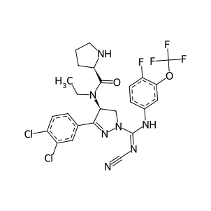 CCN(C(=O)[C@H]1CCCN1)[C@H]1CN(C(=NC#N)Nc2ccc(F)c(OC(F)(F)F)c2)N=C1c1ccc(Cl)c(Cl)c1